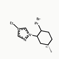 CCn1cn[n+](C2C[C@@H](C)CCC2C(C)C)c1.[Br-]